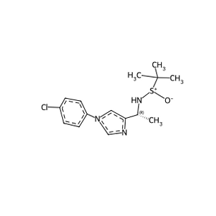 C[C@@H](N[S+]([O-])C(C)(C)C)c1cn(-c2ccc(Cl)cc2)cn1